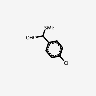 CSC(C=O)c1ccc(Cl)cc1